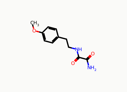 COc1ccc(CCNC(=O)C(N)=O)cc1